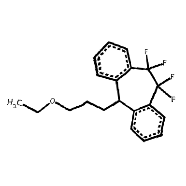 CCOCCCC1c2ccccc2C(F)(F)C(F)(F)c2ccccc21